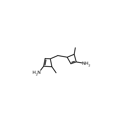 CC1C(N)=CC1CC1C=C(N)C1C